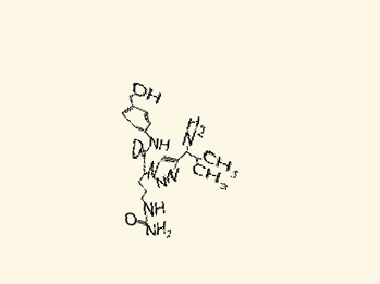 CC(C)C(N)c1cn(C(CCCNC(N)=O)C(=O)Nc2ccc(CO)cc2)nn1